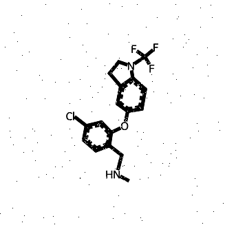 CNCc1ccc(Cl)cc1Oc1ccc2c(c1)CCN2C(F)(F)F